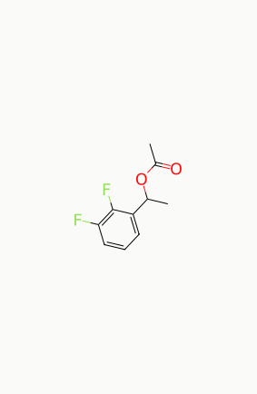 CC(=O)OC(C)c1cccc(F)c1F